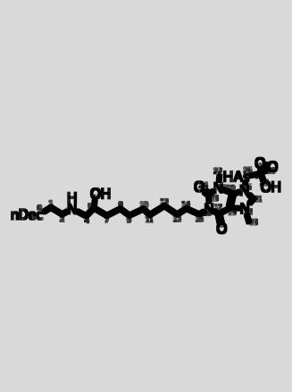 CCCCCCCCCCCCNCC(O)CCCCCCCCCn1c(=O)c2c(n(C)c1=O)N([AsH]C1(O)OO1)CN2C